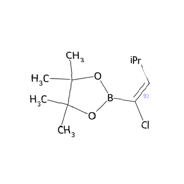 CC(C)/C=C(/Cl)B1OC(C)(C)C(C)(C)O1